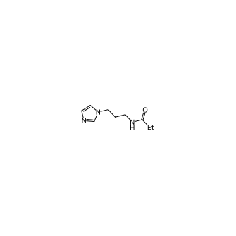 CCC(=O)NCCCn1ccnc1